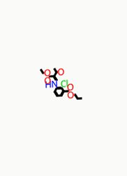 CCCOC(=O)c1cccc(NC=C(C(C)=O)C(=O)OCC)c1Cl